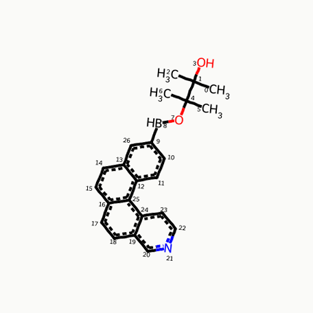 CC(C)(O)C(C)(C)OBc1ccc2c(ccc3ccc4cnccc4c32)c1